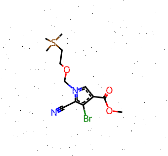 COC(=O)c1cn(COCCS(C)(C)C)c(C#N)c1Br